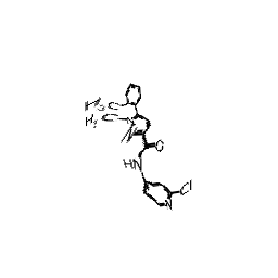 Cc1ccccc1-c1cc(C(=O)Nc2ccnc(Cl)c2)nn1C